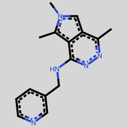 Cc1nnc(NCc2cccnc2)c2c(C)n(C)cc12